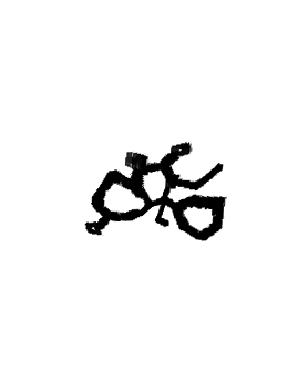 CCN1C(=O)Nc2ccc(Cl)cc2C1(CC)c1ccccc1